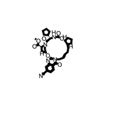 COC(=O)[C@@H]1C[C@@H]2CN1C(=O)[C@H](C1CCCC1)NC(=O)O[C@@H]1CCC[C@H]1CC/C=C/Cn1c(nc3cc(C#N)ccc3c1=O)O2